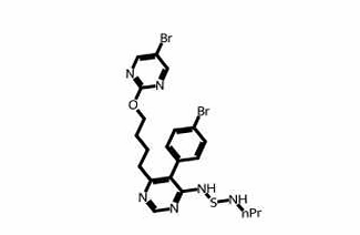 CCCNSNc1ncnc(CCCCOc2ncc(Br)cn2)c1-c1ccc(Br)cc1